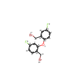 Fc1ccc(Oc2cc(F)ccc2CBr)c(CBr)c1